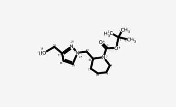 CC(C)(C)OC(=O)N1CCCCC1Cn1ccc(CO)n1